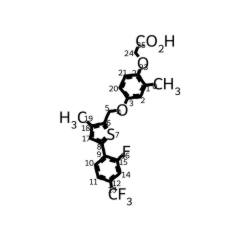 Cc1cc(OCc2sc(-c3ccc(C(F)(F)F)cc3F)cc2C)ccc1OCC(=O)O